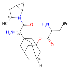 CC(C)CC(N)C(=O)OC12CC3C[C@H](C1)CC([C@H](N)C(=O)N1C4CC4C[C@H]1C#N)(C3)C2